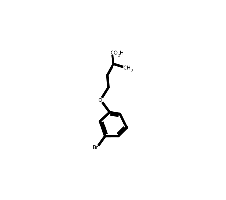 CC(CCOc1cccc(Br)c1)C(=O)O